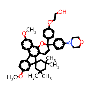 COc1ccc2c(c1)C1(CC(C)(C)CC(C)(C)C1)c1c3c(c4cc(OC)ccc4c1-2)OC(c1ccc(OCCO)cc1)(c1ccc(N2CCOCC2)cc1)C=C3